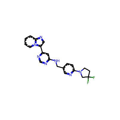 FC1(F)CCN(c2ccc(CNc3cc(-c4cnc5ccccn45)ncn3)cn2)C1